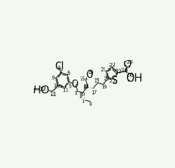 CC[C@H](COc1cc(Cl)cc(CO)c1)[C@H](C=O)CCCc1ccc(C(=O)O)s1